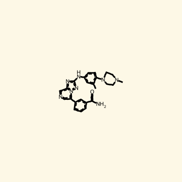 Cc1cc(Nc2nc3cncc(-c4cccc(C(N)=O)c4)n3n2)ccc1N1CCN(C)CC1